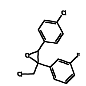 Fc1cccc(C2(CCl)OC2c2ccc(Cl)cc2)c1